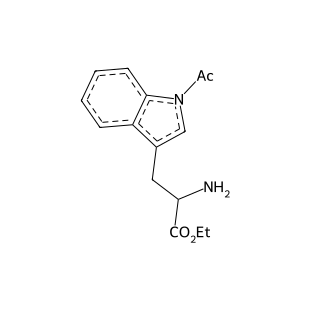 CCOC(=O)C(N)Cc1cn(C(C)=O)c2ccccc12